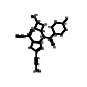 COC(=O)c1sc(C#CC(C)(C)C)cc1N(C(=O)C1CCC(C)CC1)C1CC(C(C)=O)C1